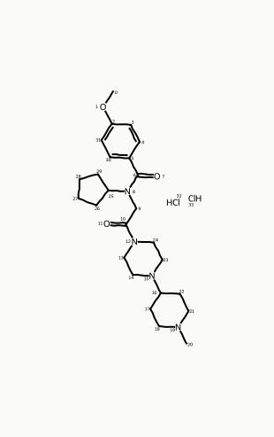 COc1ccc(C(=O)N(CC(=O)N2CCN(C3CCN(C)CC3)CC2)C2CCCC2)cc1.Cl.Cl